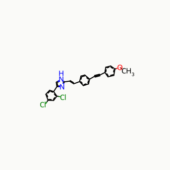 COc1ccc(C#Cc2ccc(C=Cc3nc(-c4ccc(Cl)cc4Cl)c[nH]3)cc2)cc1